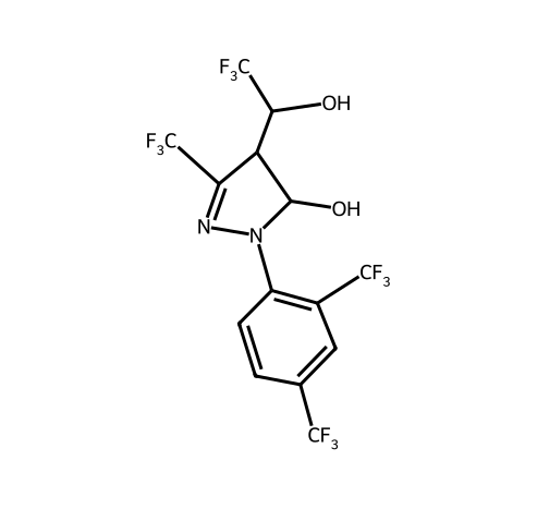 OC1C(C(O)C(F)(F)F)C(C(F)(F)F)=NN1c1ccc(C(F)(F)F)cc1C(F)(F)F